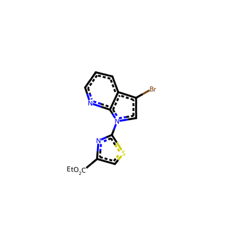 CCOC(=O)c1csc(-n2cc(Br)c3cccnc32)n1